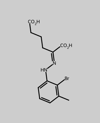 Cc1cccc(NN=C(CCCC(=O)O)C(=O)O)c1Br